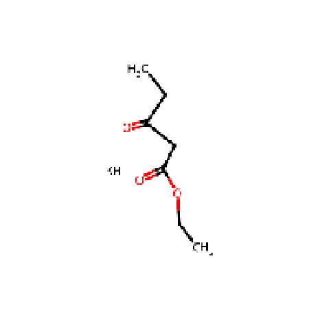 CCOC(=O)CC(=O)CC.[KH]